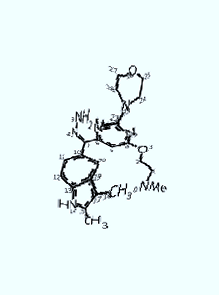 CNCCOc1cc(/C(=N\N)c2ccc3[nH]c(C)c(C)c3c2)nc(N2CCOCC2)n1